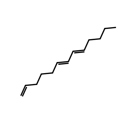 C=CCCCC=CC=CCCCC